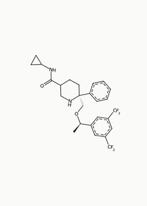 C[C@@H](OC[C@@]1(c2ccccc2)CCC(C(=O)NC2CC2)CN1)c1cc(C(F)(F)F)cc(C(F)(F)F)c1